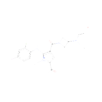 CC(=O)c1cc(C(=O)N2CC(N(C)CCO)C2)c(Nc2ccc(I)cc2F)n1C